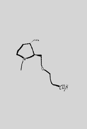 C[C@H]1CCN(C)[C@@H]1COCCC(=O)O